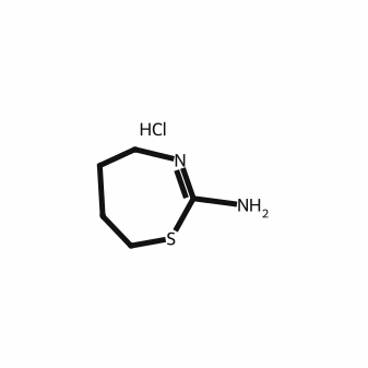 Cl.NC1=NCCCCS1